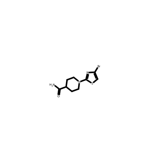 NC(=O)C1CCN(c2nc(Br)cs2)CC1